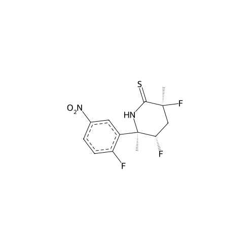 C[C@]1(F)C[C@H](F)[C@@](C)(c2cc([N+](=O)[O-])ccc2F)NC1=S